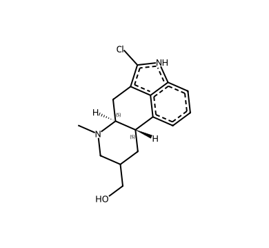 CN1CC(CO)C[C@H]2c3cccc4[nH]c(Cl)c(c34)C[C@@H]21